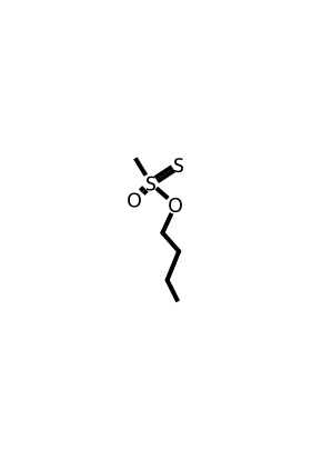 CCCCOS(C)(=O)=S